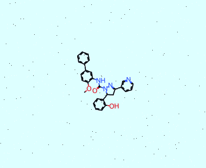 COc1ccc(-c2ccccc2)cc1NC(=O)N1N=C(c2cccnc2)CC1c1ccccc1O